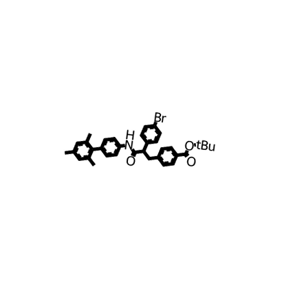 Cc1cc(C)c(-c2ccc(NC(=O)C(Cc3ccc(C(=O)OC(C)(C)C)cc3)c3ccc(Br)cc3)cc2)c(C)c1